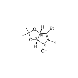 CCC1=C(I)[C@H](O)[C@@H]2OC(C)(C)O[C@H]12